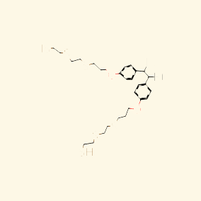 CCC(c1ccc(OCCCSCCSCCS)cc1)C(CC)c1ccc(OCCCSCCSCCS)cc1